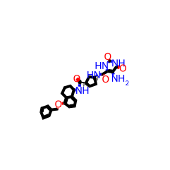 Nc1c(C(=O)N[C@H]2CC[C@@H](C(=O)NC3CCCc4c(OCc5ccccc5)cccc43)C2)[nH]c(=O)[nH]c1=O